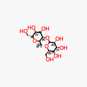 CC(C)C1O[C@H](CO)[C@@H](O)[C@H](O)[C@H]1OC1O[C@H](CO)[C@@H](O)[C@H](O)[C@H]1O